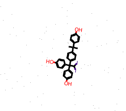 CC(C)(c1ccc(O)cc1)c1ccc(C(c2ccc(O)cc2)(c2ccc(O)cc2)C(I)I)cc1